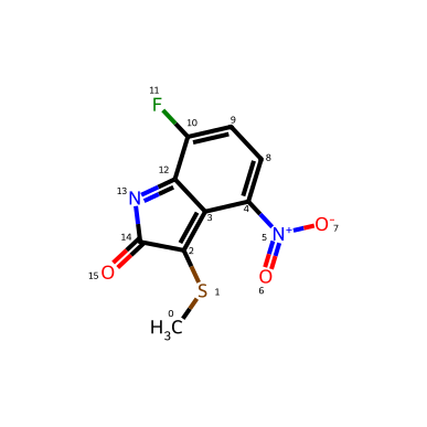 CSC1=c2c([N+](=O)[O-])ccc(F)c2=NC1=O